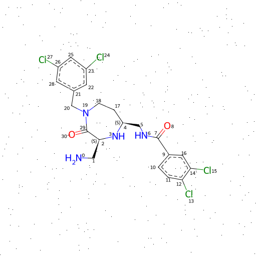 NC[C@@H]1N[C@H](CNC(=O)c2ccc(Cl)c(Cl)c2)CCN(Cc2cc(Cl)cc(Cl)c2)C1=O